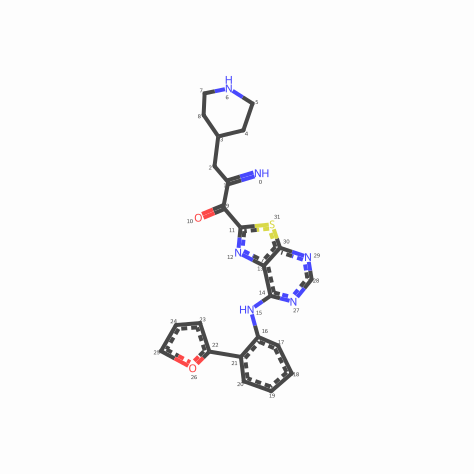 N=C(CC1CCNCC1)C(=O)c1nc2c(Nc3ccccc3-c3ccco3)ncnc2s1